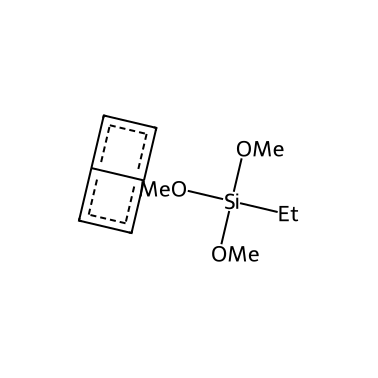 CC[Si](OC)(OC)OC.c1cc2ccc1-2